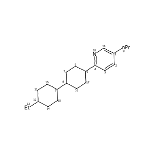 CCCc1ccc(C2CCC(C3CCC(CC)CC3)CC2)nc1